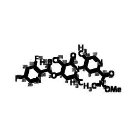 BC(Oc1cc(C)n(-c2cc(C(=O)N(C)OC)ncc2C)c(=O)c1Cl)c1ncc(F)cc1F